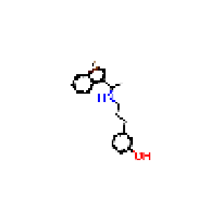 CC(NCCCc1cccc(O)c1)c1csc2ccccc12